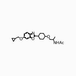 CC(=O)NC(C)COC1CCC(c2nc3ccc(OCC4CC4)cc3o2)CC1